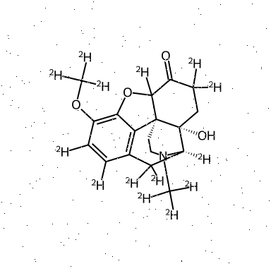 [2H]c1c([2H])c2c3c(c1OC([2H])([2H])[2H])OC1([2H])C(=O)C([2H])([2H])C[C@]4(O)[C@@]31CCN(C([2H])([2H])[2H])[C@]4([2H])C2([2H])[2H]